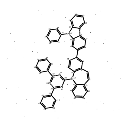 C1=Cc2cc(-c3ccc4c5ccccc5n(-c5ccccc5)c4c3)ccc2N(c2nc(-c3ccccc3)nc(-c3ccccc3)n2)c2ccccc21